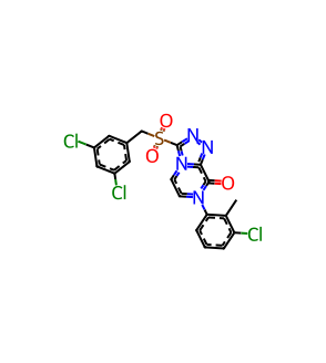 Cc1c(Cl)cccc1-n1ccn2c(S(=O)(=O)Cc3cc(Cl)cc(Cl)c3)nnc2c1=O